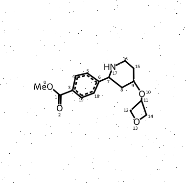 COC(=O)c1ccc(C2CC(OC3COC3)CCN2)cc1